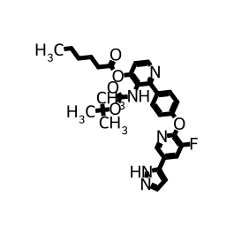 CCCCCC(=O)Oc1ccnc(-c2ccc(Oc3ncc(-c4ccn[nH]4)cc3F)cc2)c1NC(=O)OC(C)(C)C